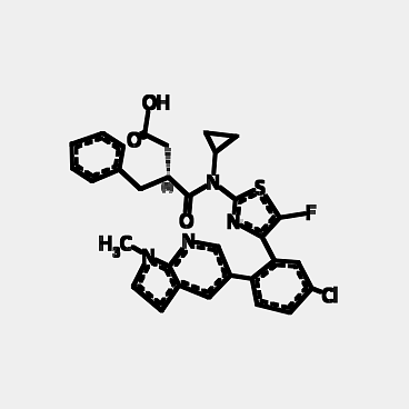 Cn1ccc2cc(-c3ccc(Cl)cc3-c3nc(N(C(=O)[C@@H](CC(=O)O)Cc4ccccc4)C4CC4)sc3F)cnc21